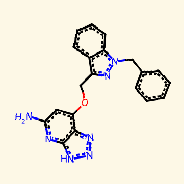 Nc1cc(OCc2nn(Cc3ccccc3)c3ccccc23)c2nn[nH]c2n1